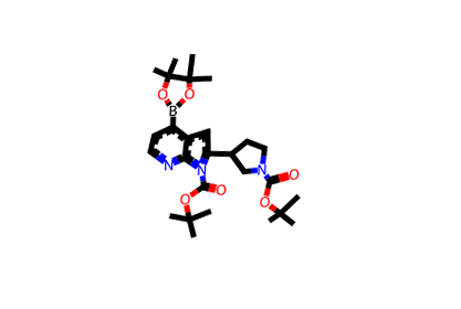 CC(C)(C)OC(=O)N1CCC(c2cc3c(B4OC(C)(C)C(C)(C)O4)ccnc3n2C(=O)OC(C)(C)C)C1